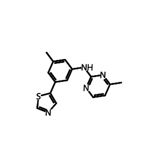 Cc1cc(Nc2nccc(C)n2)cc(-c2cncs2)c1